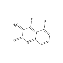 C=C1C(=O)N=c2cccc(F)c2=C1F